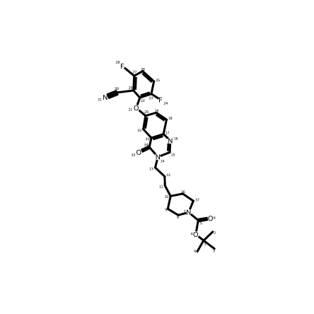 CC(C)(C)OC(=O)N1CCC(CCCn2cnc3ccc(Oc4c(F)ccc(F)c4C#N)cc3c2=O)CC1